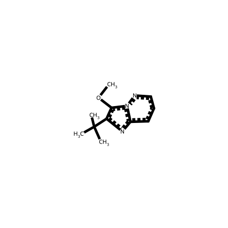 COc1c(C(C)(C)C)nc2cccnn12